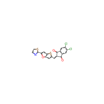 O=C1C(=Cc2cc3oc(-c4nccs4)cc3s2)C(=O)c2cc(Cl)c(Cl)cc21